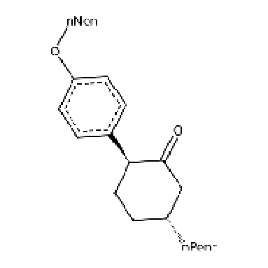 CCCCCCCCCOc1ccc([C@@H]2CC[C@@H](CCCCC)CC2=O)cc1